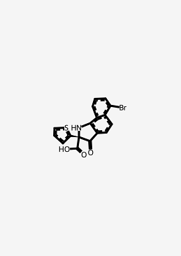 O=C(O)[C@]1(c2cccs2)Nc2c(ccc3c(Br)cccc23)C1=O